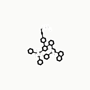 C=CC#Cc1ccc(-c2cc(-c3nc(-c4ccccc4)nc(-c4ccccc4)n3)ccc2-c2ccccc2-c2cc(-c3cccc4ccccc34)nc(-c3ccccc3)n2)cc1